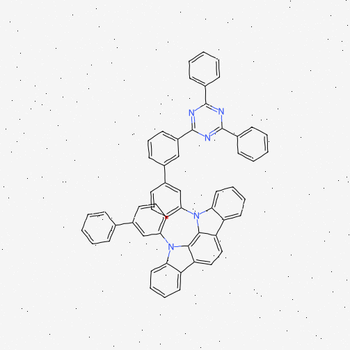 c1ccc(-c2cccc(-n3c4ccccc4c4ccc5c6ccccc6n(-c6cccc(-c7cccc(-c8nc(-c9ccccc9)nc(-c9ccccc9)n8)c7)c6)c5c43)c2)cc1